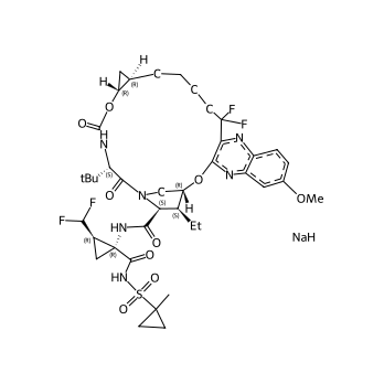 CC[C@@H]1[C@@H]2CN(C(=O)[C@H](C(C)(C)C)NC(=O)O[C@@H]3C[C@H]3CCCCC(F)(F)c3nc4ccc(OC)cc4nc3O2)[C@@H]1C(=O)N[C@]1(C(=O)NS(=O)(=O)C2(C)CC2)C[C@H]1C(F)F.[NaH]